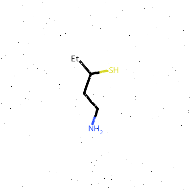 CCC(S)CCN